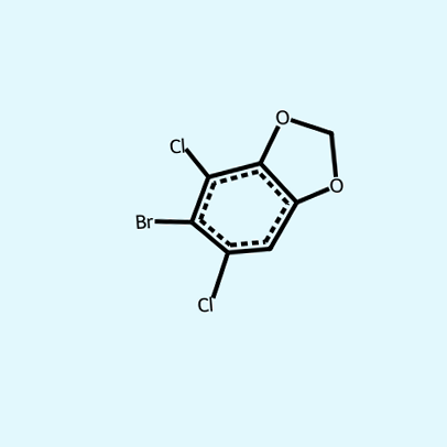 Clc1cc2c(c(Cl)c1Br)OCO2